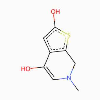 CN1C=C(O)c2cc(O)sc2C1